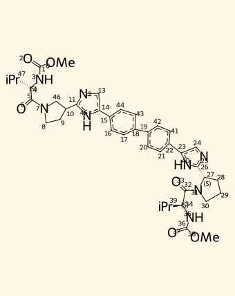 COC(=O)N[C@H](C(=O)N1CCC(c2ncc(-c3ccc(-c4ccc(-c5cnc([C@@H]6CCCN6C(=O)[C@@H](NC(=O)OC)C(C)C)[nH]5)cc4)cc3)[nH]2)C1)C(C)C